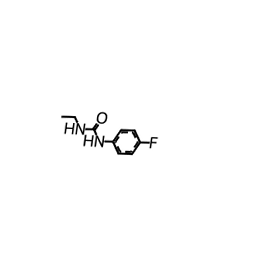 CCNC(=O)Nc1ccc(F)cc1